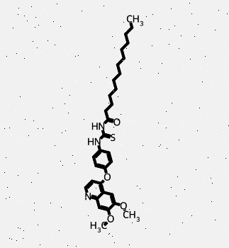 CCCCCCCCCCCCCC(=O)NC(=S)Nc1ccc(Oc2ccnc3cc(OC)c(OC)cc23)cc1